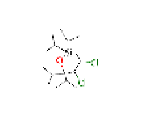 CC(C)C1(C(C)C)O[Si](C(C)C)(C(C)C)CC(Cl)C1Cl